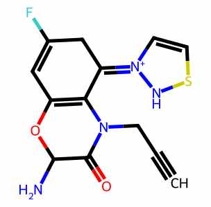 C#CCN1C(=O)C(N)OC2=C1C(=[N+]1C=CSN1)CC(F)=C2